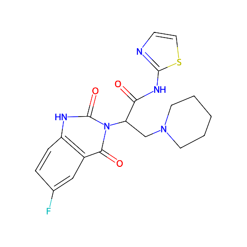 O=C(Nc1nccs1)C(CN1CCCCC1)n1c(=O)[nH]c2ccc(F)cc2c1=O